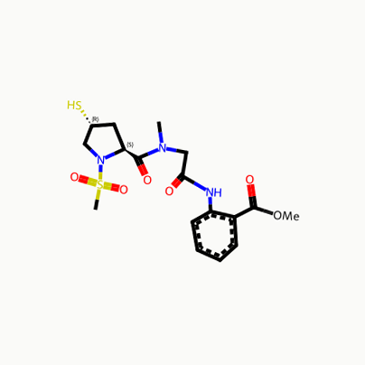 COC(=O)c1ccccc1NC(=O)CN(C)C(=O)[C@@H]1C[C@@H](S)CN1S(C)(=O)=O